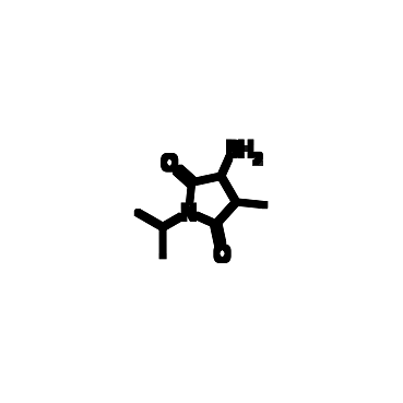 BC1C(=O)N(C(C)C)C(=O)C1C